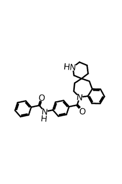 O=C(Nc1ccc(C(=O)N2CCC3(CCCNC3)Cc3ccccc32)cc1)c1ccccc1